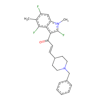 Cc1c(F)cc2c(c1F)c(C(=O)C=CC1CCN(Cc3ccccc3)CC1)c(F)n2C